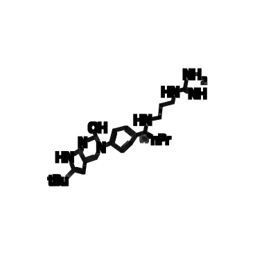 CCC[C@H](NCCCNC(=N)N)c1ccc(N2C=c3cc(C(C)(C)C)[nH]c3=NC2O)cc1